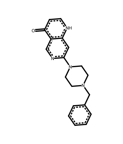 O=c1cc[nH]c2cc(N3CCN(Cc4ccccc4)CC3)ncc12